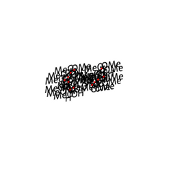 COCC1=CC(NC2C(C)OC(OC3C(COC)OC(OC4C(COC)OC(NC(=O)CSCC(=O)NC5OC(COC)C(OC6OC(COC)C(OC7OC(C)C(NC8C=C(COC)C(OC)C(OC)C8OC)C(OC)C7OC)C(OC)C6OC)C(OC)C5OC)C(OC)C4OC)C(OC)C3OC)C(OC)C2OC)C(OC)C(O)C1OC